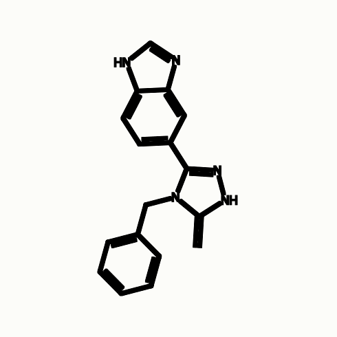 C=C1NN=C(c2ccc3[nH]cnc3c2)N1Cc1ccccc1